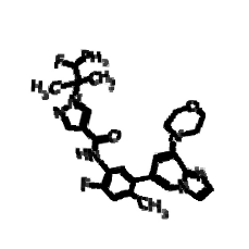 Cc1cc(F)c(NC(=O)c2cnn(C(C)(C)C(F)P)c2)cc1-c1cc(N2CCOCC2)c2nccn2c1